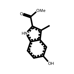 COC(=O)c1[nH]c2ccc(O)cc2c1C